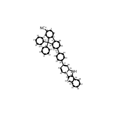 N#Cc1ccc2c(c1)C(c1ccccc1)(c1ccccc1)c1cc(-c3ccc(C4=CC5Nc6c(sc7ccccc67)N5C=C4)cc3)ccc1-2